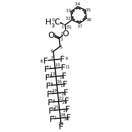 C[C@H](OC(=O)CCC(F)(F)C(F)(F)C(F)(F)C(F)(F)C(F)(F)C(F)(F)C(F)(F)C(F)(F)F)c1ccccc1